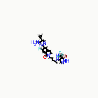 CC(CCCn1ccc2cc(-c3ncc(C4CC4)c(N)n3)c(F)cc2c1=O)Nc1cn[nH]c(=O)c1C(F)(F)F